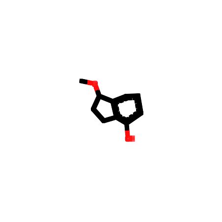 COC1CCc2c(O)cccc21